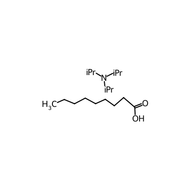 CC(C)N(C(C)C)C(C)C.CCCCCCCCC(=O)O